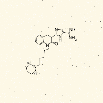 C[C@@H]1CCC[C@H](C)N1CCCCCN1C(=O)C(c2ncc(C(=N)N)[nH]2)Cc2ccccc21